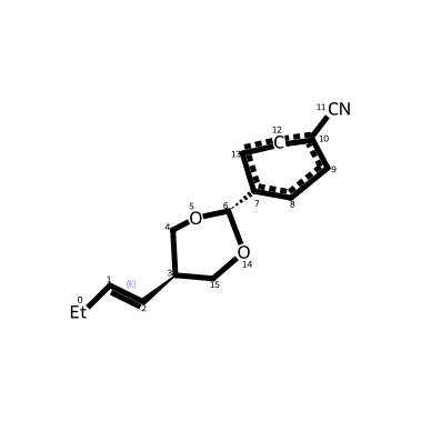 CC/C=C/[C@H]1CO[C@H](c2ccc(C#N)cc2)OC1